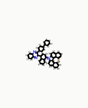 c1ccc(-c2ccc(-c3nc4ccccc4nc3-c3ccc(-n4c5ccc6cccc7sc8cccc9ccc4c(c98)c5c67)c4ccccc34)cc2)cc1